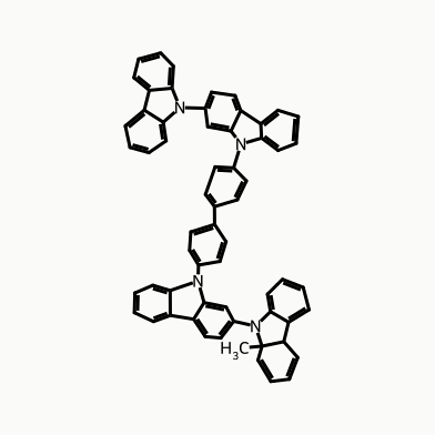 CC12C=CC=CC1c1ccccc1N2c1ccc2c3ccccc3n(-c3ccc(-c4ccc(-n5c6ccccc6c6ccc(-n7c8ccccc8c8ccccc87)cc65)cc4)cc3)c2c1